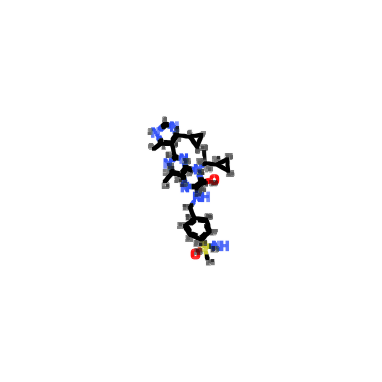 Cc1ncnc(C2CC2)c1-c1nc(C)c2nc(NCc3ccc(S(C)(=N)=O)cc3)c(=O)n([C@@H](C)C3CC3)c2n1